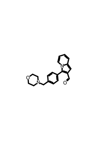 O=Cc1cc2ccccn2c1-c1ccc(CN2CCOCC2)cc1